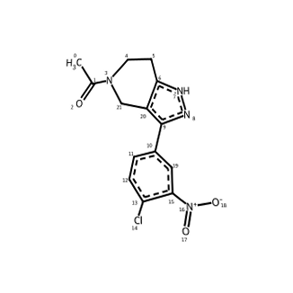 CC(=O)N1CCc2[nH]nc(-c3ccc(Cl)c([N+](=O)[O-])c3)c2C1